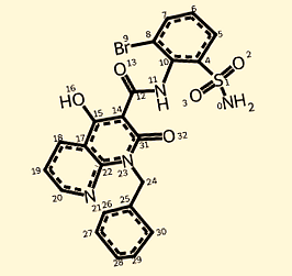 NS(=O)(=O)c1cccc(Br)c1NC(=O)c1c(O)c2cccnc2n(Cc2ccccc2)c1=O